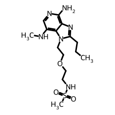 CCCc1nc2c(N)ncc(NC)c2n1CCOCCNS(C)(=O)=O